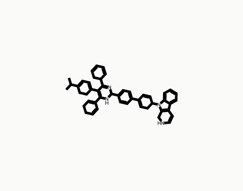 CC(C)C1=CC=C(C2=C(C3=CCCC=C3)NC(c3ccc(C4=CCC(n5c6c(c7ccccc75)C=CNC6)C=C4)cc3)N=C2C2C=CC=CC2)CC1